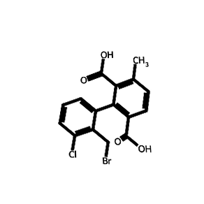 Cc1ccc(C(=O)O)c(-c2cccc(Cl)c2CBr)c1C(=O)O